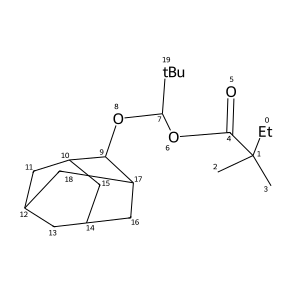 CCC(C)(C)C(=O)OC(OC1C2CC3CC(C2)CC1C3)C(C)(C)C